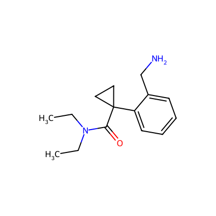 CCN(CC)C(=O)C1(c2ccccc2CN)CC1